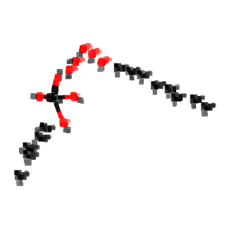 [Na+].[Na+].[Na+].[Na+].[Na+].[Na+].[Na+].[Na+].[Na+].[Na+].[Na+].[Na+].[Na+].[O-2].[O-2].[O-2].[O-2].[O-2].[O]=[Sb]([O-])([O-])[O-]